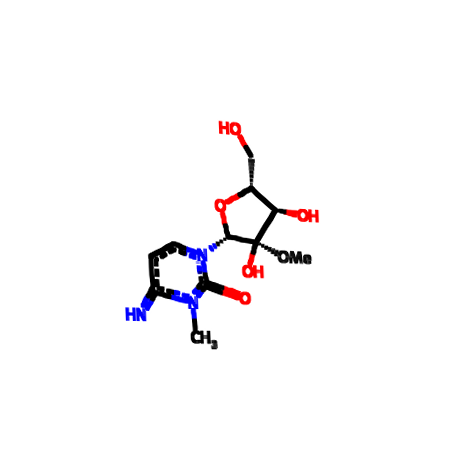 CO[C@@]1(O)[C@H](O)[C@@H](CO)O[C@H]1n1ccc(=N)n(C)c1=O